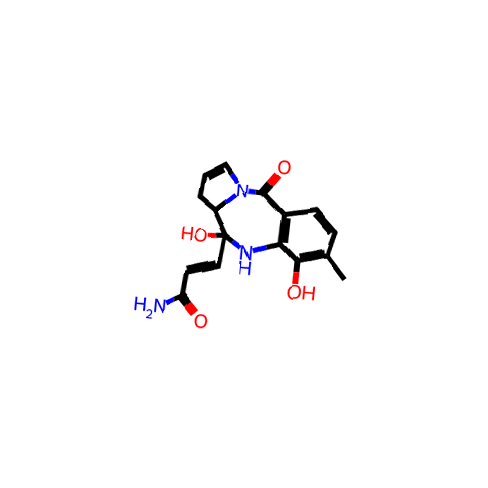 Cc1ccc2c(c1O)NC(O)(C=CC(N)=O)C1CC=CN1C2=O